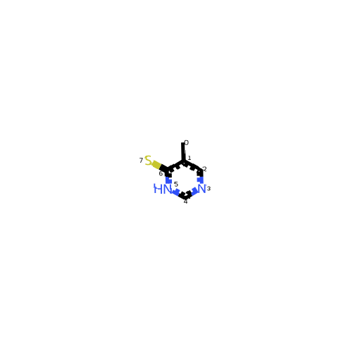 Cc1cn[c][nH]c1=S